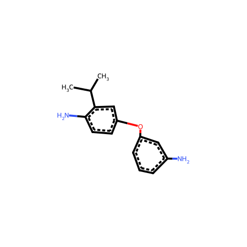 CC(C)c1cc(Oc2cccc(N)c2)ccc1N